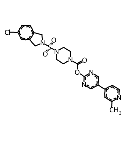 Cc1cc(-c2cnc(OC(=O)N3CCN(S(=O)(=O)N4Cc5ccc(Cl)cc5C4)CC3)nc2)ccn1